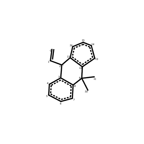 C=C[C]1c2ccccc2C(C)(C)c2ccccc21